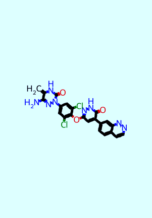 C=C1NC(=O)N(c2cc(Cl)c(Oc3cc(-c4ccc5ccnnc5c4)c(=O)[nH]n3)c(Cl)c2)N=C1N